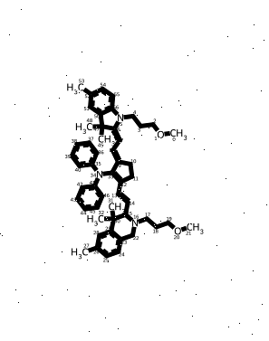 COCCCN1/C(=C/C=C2\CCC(/C=C/C3N(CCCOC)Cc4ccc(C)cc4C3(C)C)=C2N(c2ccccc2)c2ccccc2)C(C)(C)c2cc(C)ccc21